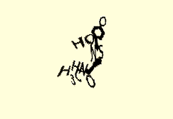 CNC(=O)c1csc(C2(O)CCC(=O)CC2)n1